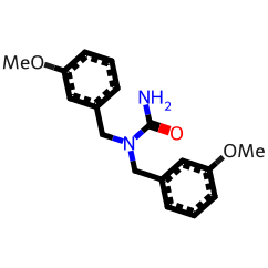 COc1cccc(CN(Cc2cccc(OC)c2)C(N)=O)c1